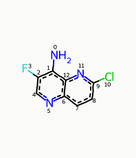 Nc1c(F)cnc2ccc(Cl)nc12